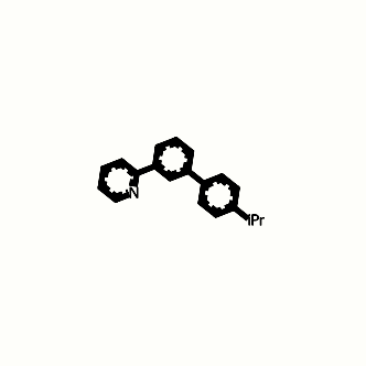 CC(C)c1ccc(-c2cccc(-c3ccccn3)c2)cc1